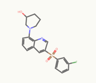 O=S(=O)(c1cccc(F)c1)c1cnc2c(N3CCCC(O)C3)cccc2c1